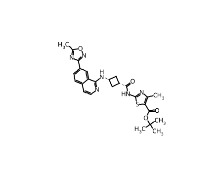 Cc1nc(-c2ccc3ccnc(N[C@H]4C[C@@H](C(=O)Nc5nc(C)c(C(=O)OC(C)(C)C)s5)C4)c3c2)no1